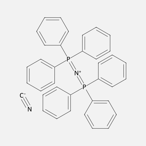 [C-]#N.c1ccc(P(=[N+]=P(c2ccccc2)(c2ccccc2)c2ccccc2)(c2ccccc2)c2ccccc2)cc1